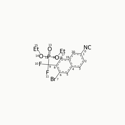 [C-]#[N+]c1ccc2cc(Br)c(C(F)(F)P(=O)(OCC)OCC)cc2c1